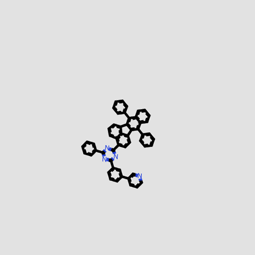 c1ccc(-c2nc(-c3cccc(-c4cccnc4)c3)nc(-c3ccc4c5c(cccc35)-c3c-4c(-c4ccccc4)c4ccccc4c3-c3ccccc3)n2)cc1